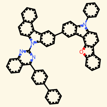 c1ccc(-c2ccc(-c3nc(-n4c5ccc(-c6ccc7c(c6)c6c8oc9ccccc9c8ccc6n7-c6ccccc6)cc5c5c6ccccc6ccc54)nc4ccccc34)cc2)cc1